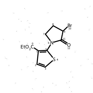 CCOC(=O)c1ccsc1N1CCC(Br)C1=O